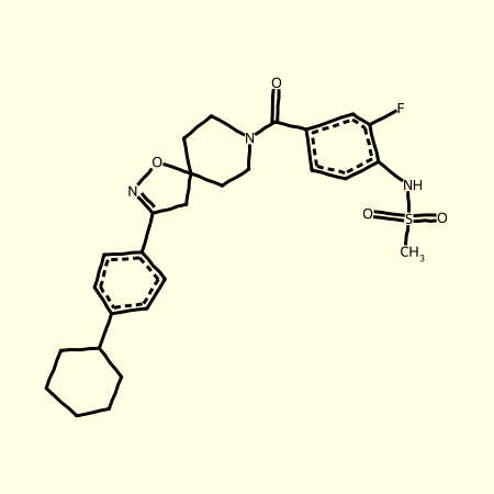 CS(=O)(=O)Nc1ccc(C(=O)N2CCC3(CC2)CC(c2ccc(C4CCCCC4)cc2)=NO3)cc1F